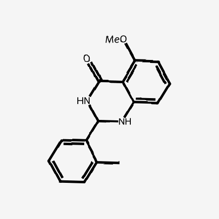 COc1cccc2c1C(=O)NC(c1ccccc1C)N2